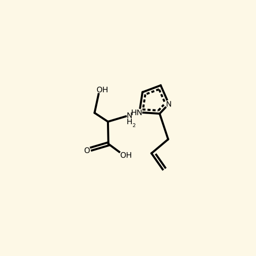 C=CCc1ncc[nH]1.NC(CO)C(=O)O